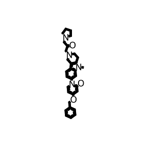 Cn1c2c(c3ccc(-n4ccc(OCc5ccccc5)cc4=O)cc31)CN(CC(=O)CN1CCCC1)CC2